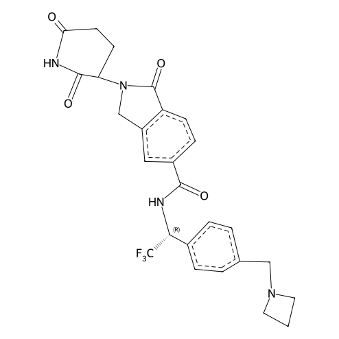 O=C1CCC(N2Cc3cc(C(=O)N[C@H](c4ccc(CN5CCC5)cc4)C(F)(F)F)ccc3C2=O)C(=O)N1